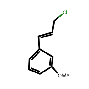 COc1cccc(C=CCCl)c1